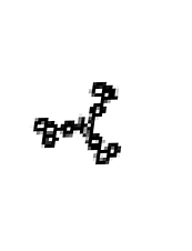 c1ccc2c(-c3ccc(-c4cc(-c5ccc(-c6cncc7ccccc67)cc5)nc(-c5ccc(-c6cc7ccccc7c7ccccc67)cc5)n4)cc3)cccc2c1